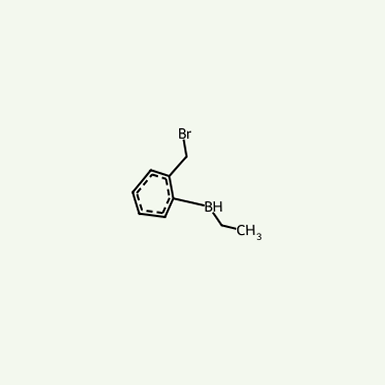 CCBc1ccccc1CBr